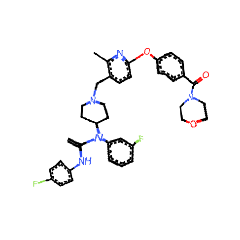 C=C(Nc1ccc(F)cc1)N(c1cccc(F)c1)C1CCN(Cc2ccc(Oc3ccc(C(=O)N4CCOCC4)cc3)nc2C)CC1